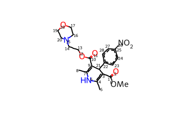 COC(=O)C1=C(C)NC(C)=C(C(=O)OCCN2CCOCC2)C1c1ccc([N+](=O)[O-])cc1